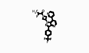 C=C(F)C(=O)N1CC(n2nc(-c3ccc(C(F)(F)F)cc3)c3nccc(-c4cccnc4)c32)C1